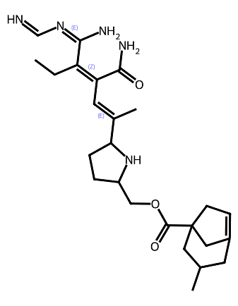 CCC(=C(\C=C(/C)C1CCC(COC(=O)C23CC=C(CC(C)C2)C3)N1)C(N)=O)/C(N)=N\C=N